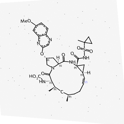 COc1ccc2ncc(O[C@@H]3C[C@H]4C(=O)N[C@]5(C(=O)NS(=O)(=O)C6(C)CC6)C[C@H]5/C=C\CC[C@@H](C)C[C@@H](C)[C@H](NC(=O)O)C(=O)N4C3)nc2c1